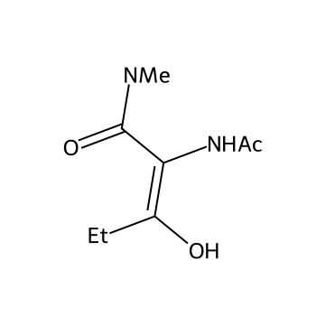 CC/C(O)=C(/NC(C)=O)C(=O)NC